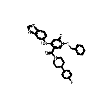 O=C(c1cn(OCc2ccccc2)c(=O)cc1Nc1ccc2scnc2c1)N1CCC(c2ccc(F)cc2)CC1